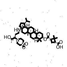 CC(C)[C@@H]1CC[C@]2(NCC[C@H]([C@H](C)O)N3CCS(=O)(=O)CC3)CC[C@]3(C)[C@H](CC[C@@H]4[C@@]5(C)CC[C@H](OC(=O)[C@H]6C[C@@H](C(=O)O)C6(C)C)C(C)(C)[C@@H]5CC[C@]43C)[C@@H]12